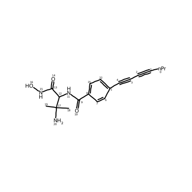 CCCC#CC#Cc1ccc(C(=O)NC(C(=O)NO)C(C)(C)N)cc1